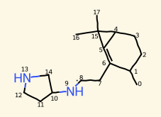 CC1CCC2C(=C1C[CH]NC1CCNC1)C2(C)C